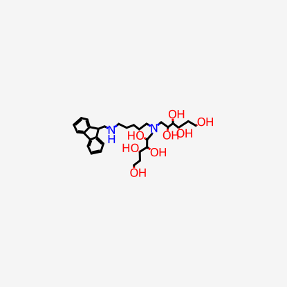 OCCC(O)C(O)C(O)CN(CCCCCNCC1c2ccccc2-c2ccccc21)CC(O)C(O)C(O)CCO